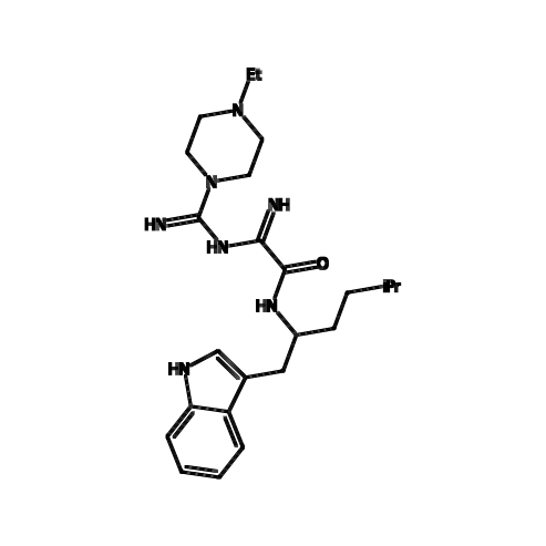 CCN1CCN(C(=N)NC(=N)C(=O)NC(CCC(C)C)Cc2c[nH]c3ccccc23)CC1